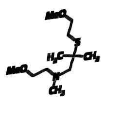 COCCSC(C)(C)CN(C)CCOC